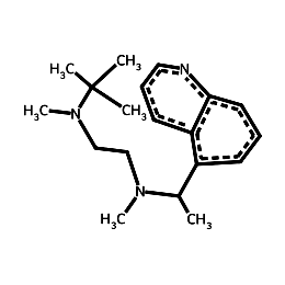 CC(c1cccc2ncccc12)N(C)CCN(C)C(C)(C)C